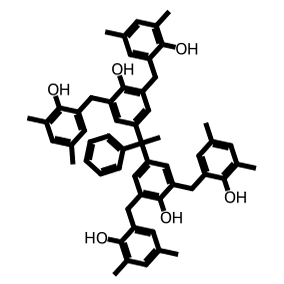 Cc1cc(C)c(O)c(Cc2cc(C(C)(c3ccccc3)c3cc(Cc4cc(C)cc(C)c4O)c(O)c(Cc4cc(C)cc(C)c4O)c3)cc(Cc3cc(C)cc(C)c3O)c2O)c1